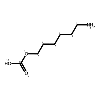 NCCCCCCOC(=O)O